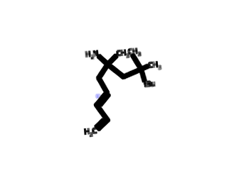 C=C/C=C/CC(C)(N)CC(C)(C)C(C)(C)C